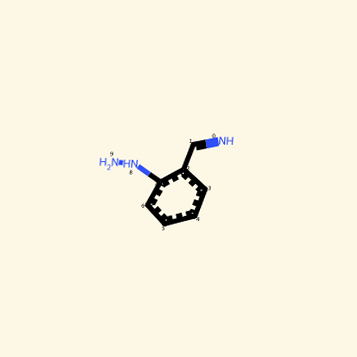 N=Cc1ccccc1NN